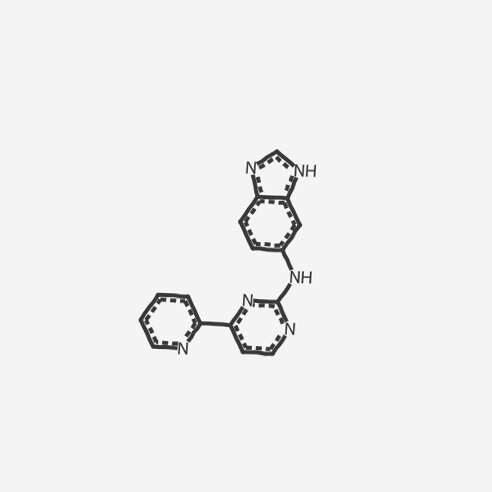 c1ccc(-c2ccnc(Nc3ccc4nc[nH]c4c3)n2)nc1